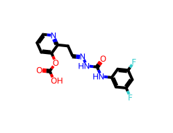 O=C(NN=CCc1ncccc1OC(=O)O)Nc1cc(F)cc(F)c1